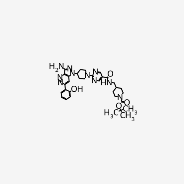 CC(C)(C)OC(=O)N1CCC(CNC(=O)c2cnc(N3CCC(n4nc(N)c5nnc(-c6ccccc6O)cc54)CC3)nc2)CC1